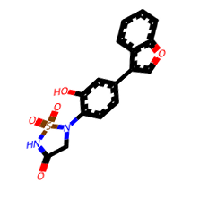 O=C1CN(c2ccc(-c3coc4ccccc34)cc2O)S(=O)(=O)N1